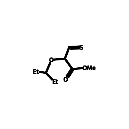 CCC(CC)OC(C=S)C(=O)OC